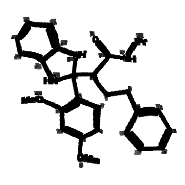 COc1ccc(C2(C(CCc3ccccc3)C(=O)NC(C)C)Nc3ccccc3N2)c(OC)c1